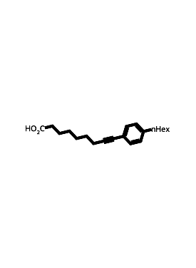 CCCCCCc1ccc(C#CCCCCCCC(=O)O)cc1